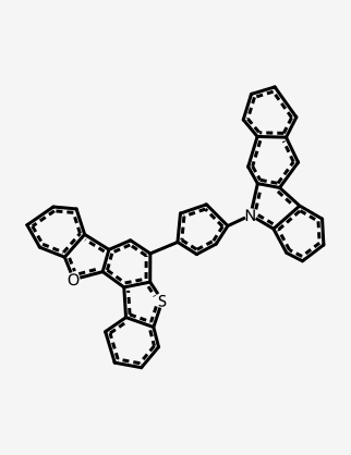 c1ccc2cc3c(cc2c1)c1ccccc1n3-c1ccc(-c2cc3c4ccccc4oc3c3c2sc2ccccc23)cc1